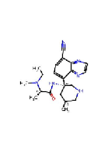 CCN(C)[C@H](C)C(=O)N[C@]1(c2ccc(C#N)c3nccnc23)CNC[C@@H](C)C1